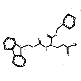 O=C(O)CC[C@@H](NC(=O)OCC1c2ccccc2-c2ccccc21)C(=O)OCc1ccccc1